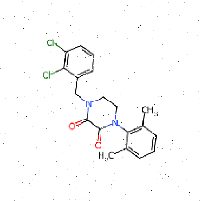 Cc1cccc(C)c1N1CCN(Cc2cccc(Cl)c2Cl)C(=O)C1=O